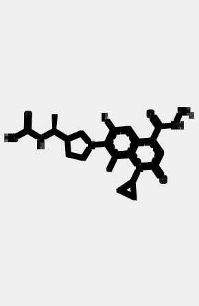 Cc1c(N2CCC([C@H](C)NC(=O)O)C2)c(F)cc2c(C(=O)NN)cc(=O)n(C3CC3)c12